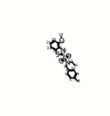 CCN(Cc1ccc(C)cc1)S(=O)(=O)c1nc2c(OC)cccc2s1